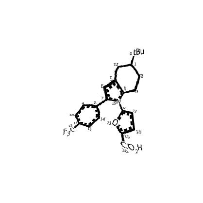 CC(C)(C)C1CCc2c(cc(-c3ccc(C(F)(F)F)cc3)n2-c2ccc(C(=O)O)o2)C1